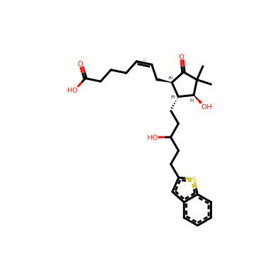 CC1(C)C(=O)[C@H](C/C=C\CCCC(=O)O)[C@@H](CCC(O)CCc2cc3ccccc3s2)[C@@H]1O